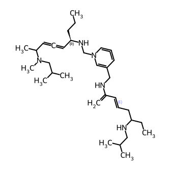 C=C(/C=C/CC(CC)NCC(C)C)NCC1=CN(CN[C@@H](C=C=CC(C)N(C)CC(C)C)CCC)C=C=C1